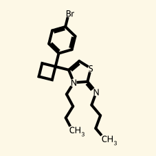 CCCCN=c1scc(C2(c3ccc(Br)cc3)CCC2)n1CCCC